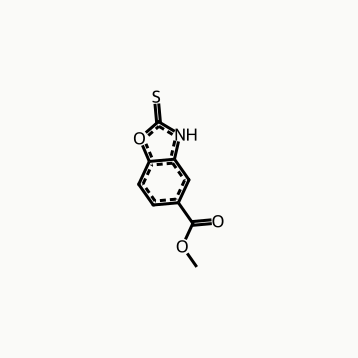 COC(=O)c1ccc2oc(=S)[nH]c2c1